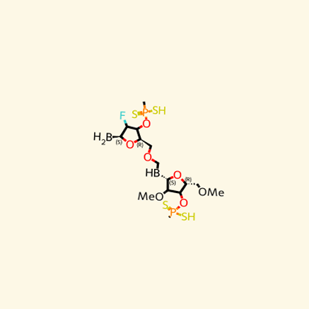 B[C@@H]1O[C@H](COCB[C@@H]2O[C@H](COC)C(OP(C)(=S)S)C2OC)C(OP(C)(=S)S)C1F